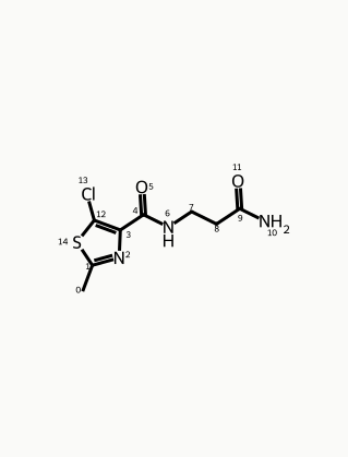 Cc1nc(C(=O)NCCC(N)=O)c(Cl)s1